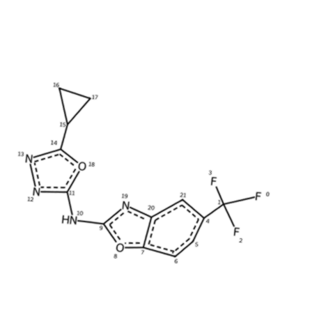 FC(F)(F)c1ccc2oc(Nc3nnc(C4CC4)o3)nc2c1